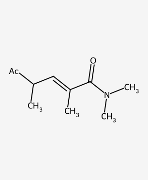 CC(=O)C(C)/C=C(\C)C(=O)N(C)C